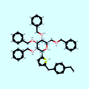 CCc1ccc(Cc2ccc([C@@H]3O[C@H](COCc4ccccc4)[C@@H](OCc4ccccc4)[C@H](OCc4ccccc4)[C@H]3OCc3ccccc3)s2)cc1